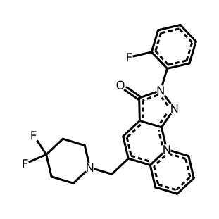 O=c1c2cc(CN3CCC(F)(F)CC3)c3ccccn3c-2nn1-c1ccccc1F